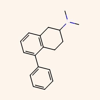 CN(C)C1CCc2c(cccc2-c2ccccc2)C1